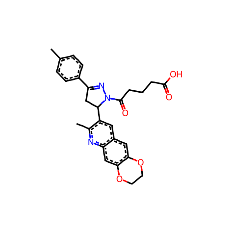 Cc1ccc(C2=NN(C(=O)CCCC(=O)O)C(c3cc4cc5c(cc4nc3C)OCCO5)C2)cc1